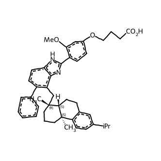 COc1cc(OCCCC(=O)O)ccc1-c1nc2c(C[C@@]3(C)CCC[C@]4(C)c5ccc(C(C)C)cc5CC[C@@H]34)c(-c3ccccc3)ccc2[nH]1